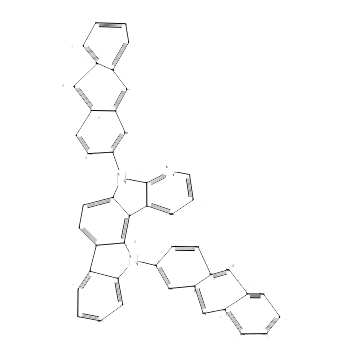 c1ccc2cc3cc(-n4c5ccc6c7ccccc7n(-c7ccc8cc9ccccc9cc8c7)c6c5c5cccnc54)ccc3cc2c1